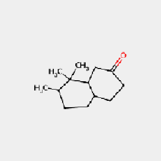 CC1CCC2CCC(=O)CC2C1(C)C